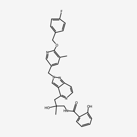 Cc1cc(Cn2cc3c(CC(C)(O)CNC(=O)c4ccccc4O)nccc3n2)cnc1OCc1ccc(F)cc1